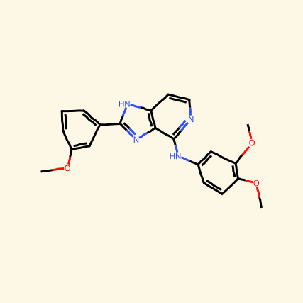 COc1cccc(-c2nc3c(Nc4ccc(OC)c(OC)c4)nccc3[nH]2)c1